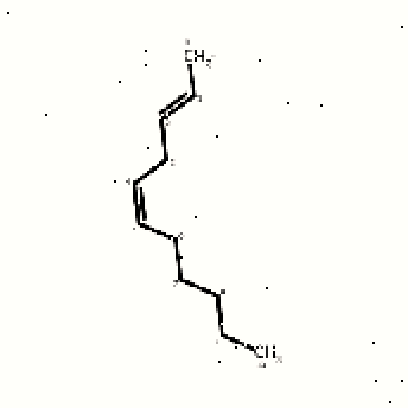 [CH2]/C=C/C/C=C\CCCCC